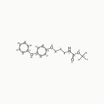 CC(C)(C)OC(=O)NCCCOc1ccc(Oc2ccccc2)cc1